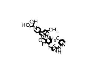 Cc1ccnc(Nc2ncc(Sc3ccnc(C(=O)NCC4(c5cc(C)on5)CCN(C(CO)CO)CC4)c3F)s2)c1